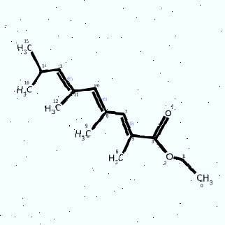 CCOC(=O)/C(C)=C/C(C)=C/C(C)=C/C(C)C